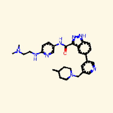 CC1CCN(Cc2cncc(-c3ccc4[nH]nc(C(=O)Nc5ccc(NCCN(C)C)nc5)c4c3)c2)CC1